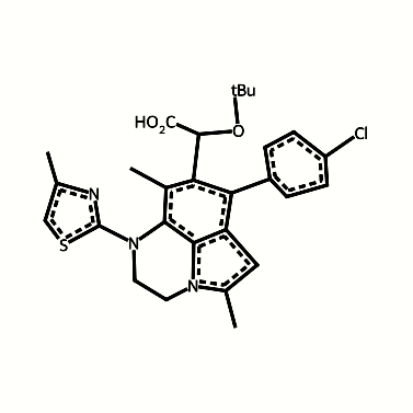 Cc1csc(N2CCn3c(C)cc4c(-c5ccc(Cl)cc5)c(C(OC(C)(C)C)C(=O)O)c(C)c2c43)n1